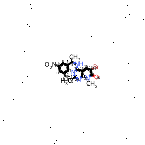 Cc1nc(N[C@H](C)c2cc([N+](=O)[O-])cc(C(F)(F)F)c2)c2cc(Br)c(=O)n(C)c2n1